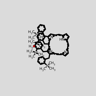 C[N+](C)(C)c1ccccc1CC1=Cc2cc3ccc(cc4nc(cc5[nH]c(c(Cc6ccccc6[N+](C)(C)C)c1n2)c(Cc1ccccc1[N+](C)(C)C)c5Cc1ccccc1[N+](C)(C)C)C=C4)[nH]3